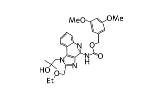 CCOCc1nc2c(NC(=O)OCc3cc(OC)cc(OC)c3)nc3ccccc3c2n1CC(C)(C)O